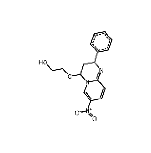 O=[N+]([O-])C1=CN2C(=NC(c3ccccc3)CC2OCCO)C=C1